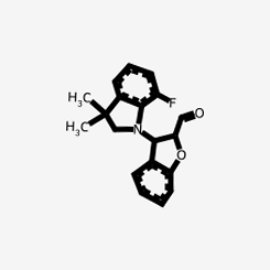 CC1(C)CN(C2c3ccccc3OC2C=O)c2c(F)cccc21